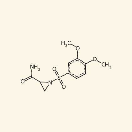 COc1ccc(S(=O)(=O)N2CC2C(N)=O)cc1OC